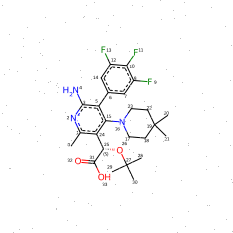 Cc1nc(N)c(-c2cc(F)c(F)c(F)c2)c(N2CCC(C)(C)CC2)c1[C@H](OC(C)(C)C)C(=O)O